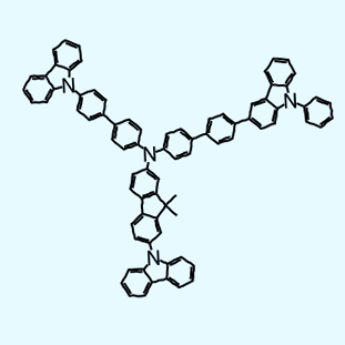 CC1(C)c2cc(N(c3ccc(-c4ccc(-c5ccc6c(c5)c5ccccc5n6-c5ccccc5)cc4)cc3)c3ccc(-c4ccc(-n5c6ccccc6c6ccccc65)cc4)cc3)ccc2-c2ccc(-n3c4ccccc4c4ccccc43)cc21